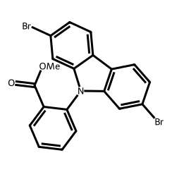 COC(=O)c1ccccc1-n1c2cc(Br)ccc2c2ccc(Br)cc21